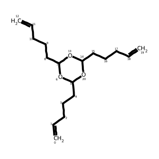 C=CCCCC1OC(CCCC=C)OC(CCCC=C)O1